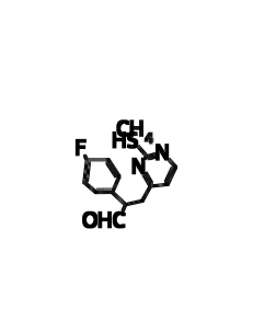 C.O=CC(Cc1ccnc(S)n1)c1ccc(F)cc1